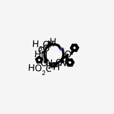 C[C@]12C[C@@H]1CC/C=C/Cc1c(nc3ccccc3c1OCc1ccccc1)O[C@@H]1C[C@@H](C(=O)O)N(C1)C(=O)[C@H](C1CCCC1)NC(=O)O2